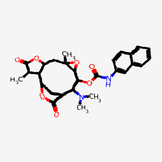 CC1C(=O)OC2CC3(C)OC3C(OC(=O)Nc3ccc4ccccc4c3)C(N(C)C)C3CC(OC3=O)C21